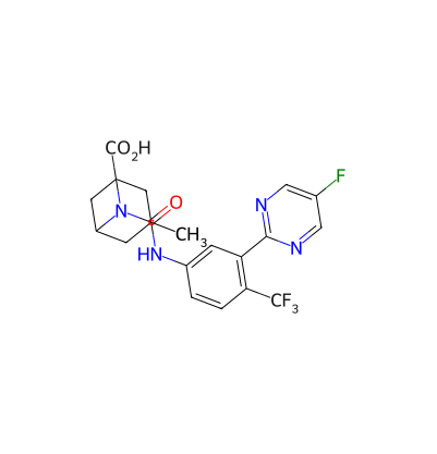 CC1CC2CC(C(=O)O)(C1)N2C(=O)Nc1ccc(C(F)(F)F)c(-c2ncc(F)cn2)c1